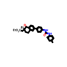 CCOC(=O)CC1(CC)CCc2cc(-c3ccc(NC(=O)Nc4ccc(C)cc4)cc3)ccc2C1=O